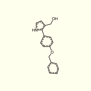 OCc1cc[nH]c1-c1ccc(OCc2ccccc2)cc1